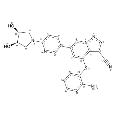 N#Cc1cnn2cc(-c3ccc(N4C[C@@H](O)[C@@H](O)C4)nc3)cc(Sc3ccccc3N)c12